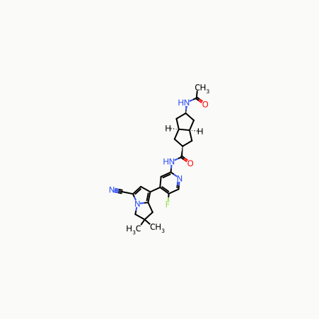 CC(=O)N[C@@H]1C[C@@H]2C[C@H](C(=O)Nc3cc(-c4cc(C#N)n5c4CC(C)(C)C5)c(F)cn3)C[C@@H]2C1